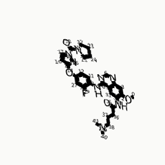 COc1cc2ncnc(Nc3ccc(Oc4ccn(C(=O)N5CCCC5)n4)cc3F)c2cc1NC(=O)CCCN(C)C